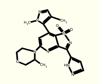 Cc1cnn(C)c1-c1cc(N2CCOCC2C)nc2c1S(=O)(=O)N=C2c1ccn[nH]1